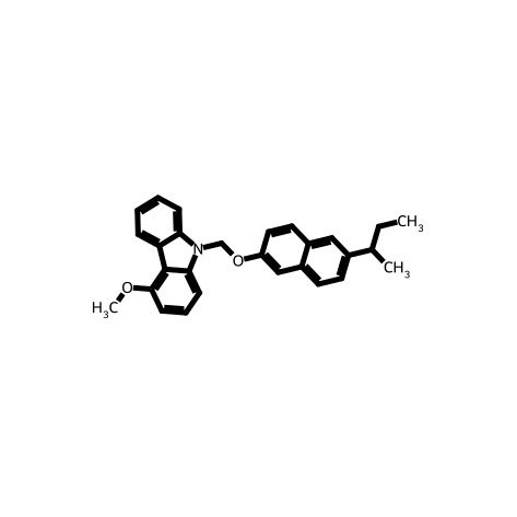 CCC(C)c1ccc2cc(OCn3c4ccccc4c4c(OC)cccc43)ccc2c1